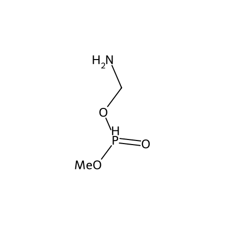 CO[PH](=O)OCN